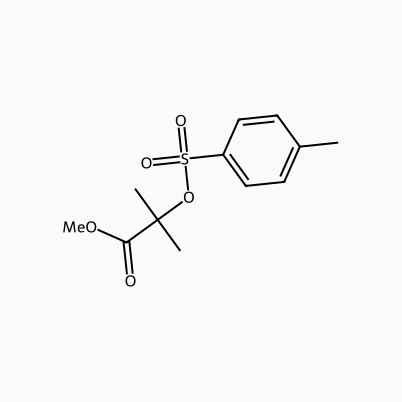 COC(=O)C(C)(C)OS(=O)(=O)c1ccc(C)cc1